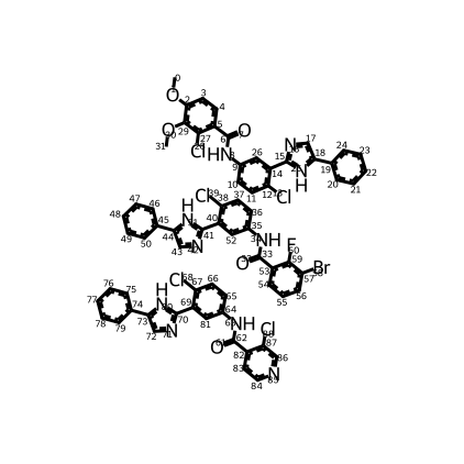 COc1ccc(C(=O)Nc2ccc(Cl)c(-c3ncc(-c4ccccc4)[nH]3)c2)c(Cl)c1OC.O=C(Nc1ccc(Cl)c(-c2ncc(-c3ccccc3)[nH]2)c1)c1cccc(Br)c1F.O=C(Nc1ccc(Cl)c(-c2ncc(-c3ccccc3)[nH]2)c1)c1ccncc1Cl